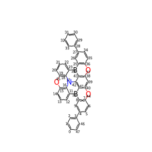 c1ccc(-c2ccc3c(c2)B2c4cccc5c4N4c6c(cccc6B6c7cc(-c8ccccc8)ccc7Oc7cc(c2c4c76)O3)O5)cc1